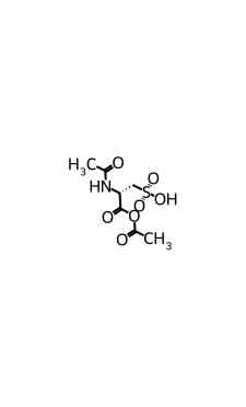 CC(=O)N[C@H](CS(=O)(=O)O)C(=O)OC(C)=O